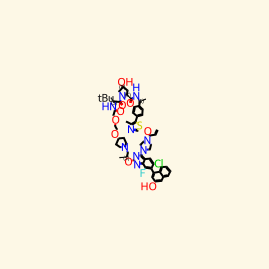 C=CC(=O)N1CCN(c2nc(O[C@@H](C)CN3CCC(OCCOCC(=O)N[C@H](C(=O)N4C[C@H](O)C[C@H]4C(=O)N[C@@H](C)c4ccc(-c5scnc5C)cc4)C(C)(C)C)CC3)nc3c(F)c(-c4cc(O)cc5ccccc45)c(Cl)cc23)CC1